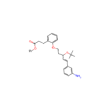 CC(C)OC(=O)CCc1ccccc1OCCC(C=Cc1cccc(N)c1)O[Si](C)(C)C